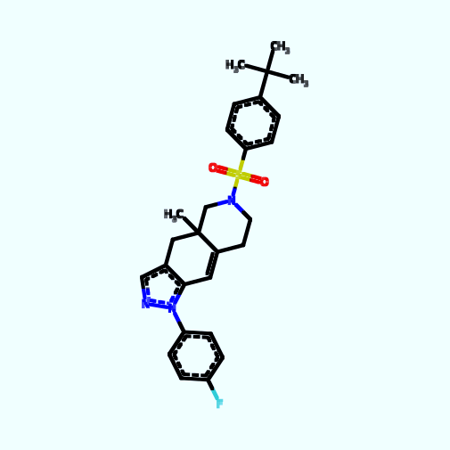 CC12Cc3cnn(-c4ccc(F)cc4)c3C=C1CCN(S(=O)(=O)c1ccc(C(C)(C)C)cc1)C2